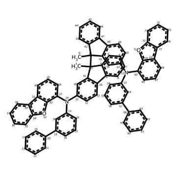 CC1(C2(C)c3ccccc3-c3ccc(N(c4cccc(-c5ccccc5)c4)c4cccc5c4oc4ccccc45)cc32)c2ccccc2-c2ccc(N(c3cccc(-c4ccccc4)c3)c3cccc4c3oc3ccccc34)cc21